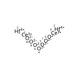 [Ce+3].[Ce+3].[Hf+4].[Hf+4].[O-2].[O-2].[O-2].[O-2].[O-2].[O-2].[O-2]